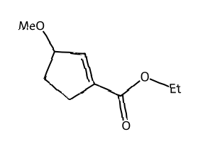 CCOC(=O)C1=CC(OC)CC1